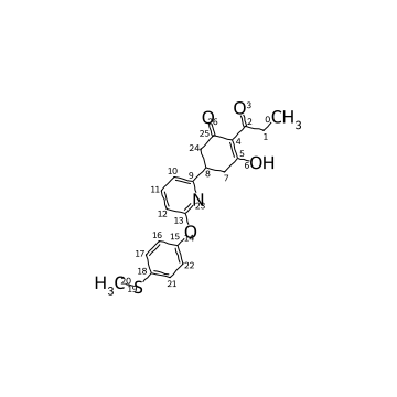 CCC(=O)C1=C(O)CC(c2cccc(Oc3ccc(SC)cc3)n2)CC1=O